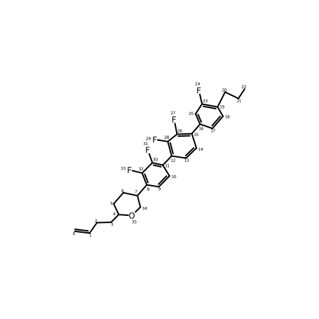 C=CCCC1CCC(c2ccc(-c3ccc(-c4ccc(CCC)c(F)c4)c(F)c3F)c(F)c2F)CO1